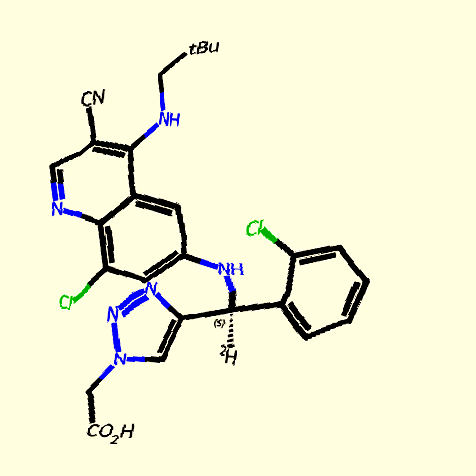 [2H][C@@](Nc1cc(Cl)c2ncc(C#N)c(NCC(C)(C)C)c2c1)(c1cn(CC(=O)O)nn1)c1ccccc1Cl